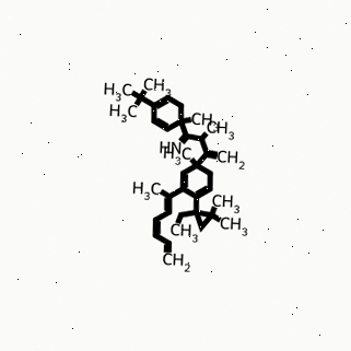 C=C/C=C\C=C(/C)C1=CC(C)(C(=C)C(C)C(=N)C2(C)C=CC(C(C)(C)C)=CC2)CC=C1C1(CC)CC1(C)C